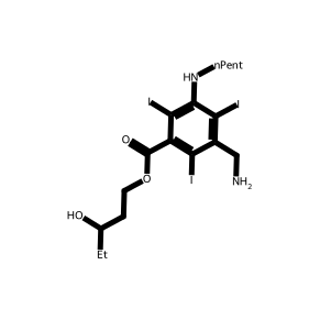 CCCCCNc1c(I)c(CN)c(I)c(C(=O)OCCC(O)CC)c1I